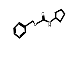 O=C(NC1[CH]CCC1)OCc1ccccc1